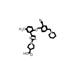 Cc1ccc(OCc2ccc(CN3CCCCC3)cc2C#N)c(-c2csc(N3CCC(C(=O)O)CC3)n2)c1